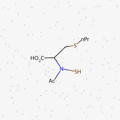 CCCSCC(C(=O)O)N(S)C(C)=O